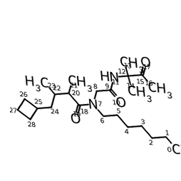 CCCCCCCN(CC(=O)NC(C)(C)C(C)=O)C(=O)C(C)C(C)CC1CCC1